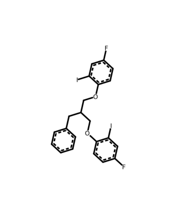 Fc1ccc(OCC(COc2ccc(F)cc2I)Cc2ccccc2)c(I)c1